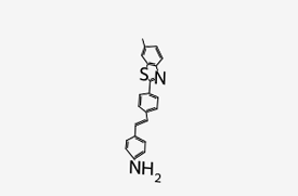 Cc1ccc2nc(-c3ccc(C=Cc4ccc(N)cc4)cc3)sc2c1